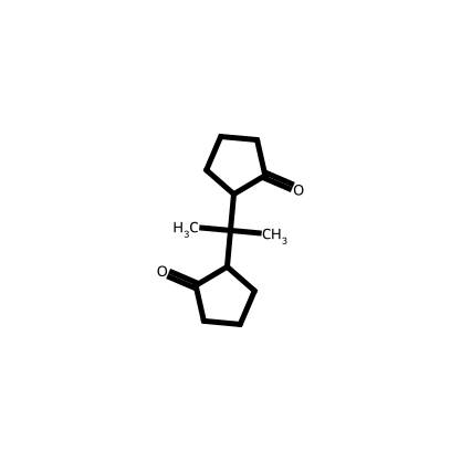 CC(C)(C1CCCC1=O)C1CCCC1=O